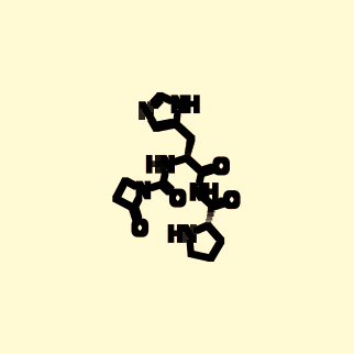 O=C(NC(=O)[C@H](Cc1cnc[nH]1)NC(=O)N1CCC1=O)[C@@H]1CCCN1